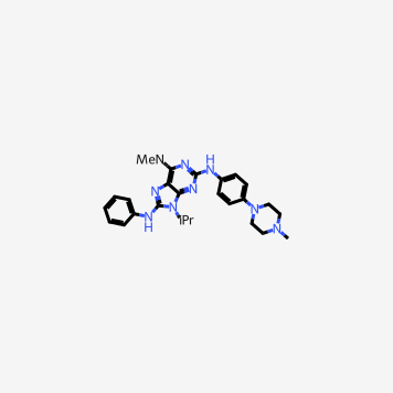 CNc1nc(Nc2ccc(N3CCN(C)CC3)cc2)nc2c1nc(Nc1ccccc1)n2C(C)C